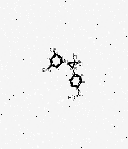 COc1ccc([C@H]2[C@H](c3cc(Cl)cc(Br)c3)C2(Cl)Cl)cc1